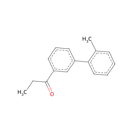 CCC(=O)c1cccc(-c2ccccc2C)c1